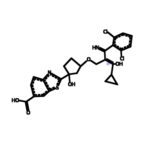 N=C(/C(COC1CCC(O)(c2nc3ccc(C(=O)O)cc3s2)C1)=C(\O)C1CC1)c1c(Cl)cccc1Cl